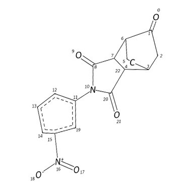 O=C1CC2CCC1C1C(=O)N(c3cccc([N+](=O)[O-])c3)C(=O)C21